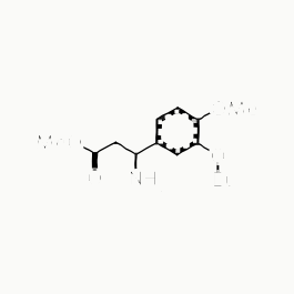 CCOc1cc(C(N)CC(=O)OC)ccc1OC